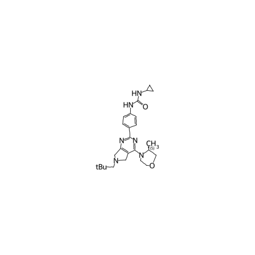 C[C@H]1COCCN1c1nc(-c2ccc(NC(=O)NC3CC3)cc2)nc2c1CN(CC(C)(C)C)C2